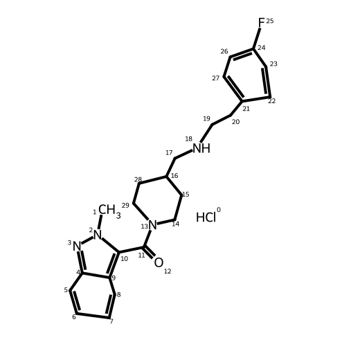 Cl.Cn1nc2ccccc2c1C(=O)N1CCC(CNCCc2ccc(F)cc2)CC1